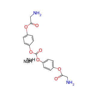 NCC(=O)Oc1ccc(OC(=O)Oc2ccc(OC(=O)CN)cc2)cc1.[NaH].[NaH]